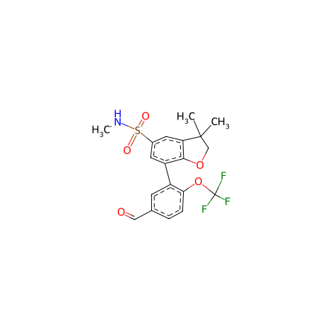 CNS(=O)(=O)c1cc(-c2cc(C=O)ccc2OC(F)(F)F)c2c(c1)C(C)(C)CO2